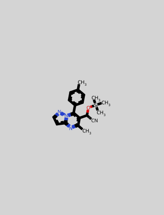 Cc1ccc(-c2c(C(C#N)O[Si](C)(C)C)c(C)nc3ccnn23)cc1